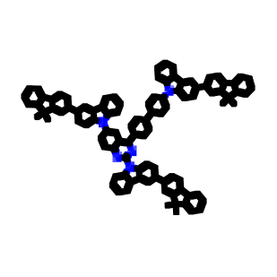 CC1(C)c2ccccc2-c2ccc(-c3ccc4c(c3)c3ccccc3n4-c3ccc(-c4ccc(-c5nc(-n6c7ccccc7c7cc(-c8ccc9c(c8)C(C)(C)c8ccccc8-9)ccc76)nc6ccc(-n7c8ccccc8c8cc(-c9ccc%10c(c9)C(C)(C)c9ccccc9-%10)ccc87)cc56)cc4)cc3)cc21